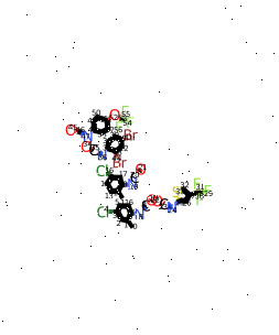 Cc1cc(Cl)ccc1N=C=O.Cc1ccc(Cl)cc1N=C=O.O=C=Nc1cc(C(F)(F)F)cs1.O=C=Nc1ccc(Br)cc1Br.O=C=Nc1ccc(OC(F)(F)F)cc1